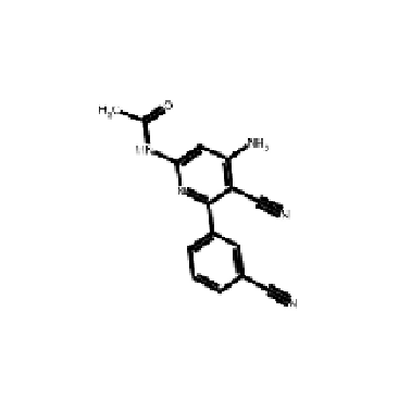 CC(=O)Nc1cc(N)c(C#N)c(-c2cccc(C#N)c2)n1